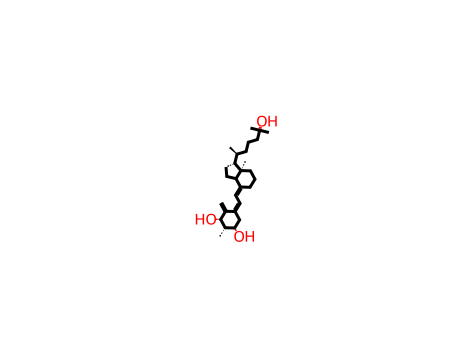 C=C1/C(=C\C=C2CCC[C@@]3(C)C2CC[C@@H]3[C@@H](C)CCCC(C)(C)O)C[C@H](O)[C@H](C)[C@@H]1O